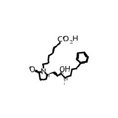 C[C@@H](CCCc1ccccc1)[C@H](O)C=C[C@H]1CCC(=O)N1CCCCCCC(=O)O